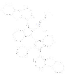 C=C/C=C(\CC)c1c(-c2c(-c3ccccc3)n(-c3ncnc4c3sc3ccccc34)c3ccccc23)c2ccccc2n1-c1ncnc2c1sc1ccccc12